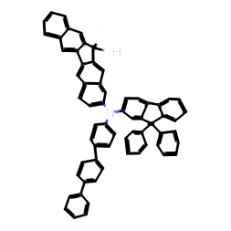 CC1(C)c2cc3ccccc3cc2-c2cc3ccc(N(c4ccc(-c5ccc(-c6ccccc6)cc5)cc4)c4ccc5c(c4)C(c4ccccc4)(c4ccccc4)c4ccccc4-5)cc3cc21